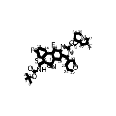 CC(C)(C)OC(=O)Nc1sc2c(F)ccc(-c3c(Cl)cc4c(C5=CCCOC5)nc(OC[C@@]56CCCN5C[C@H](F)C6)nc4c3F)c2c1C#N